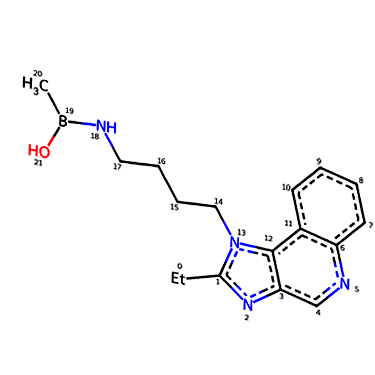 CCc1nc2cnc3ccccc3c2n1CCCCNB(C)O